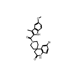 COc1ccc2[nH]c(C(=O)N3CCC4(CC3)CC(=O)Nc3ccc(Br)cc34)c(C)c2c1